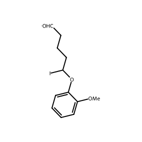 COc1ccccc1OC(I)CCC[C]=O